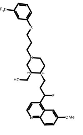 COc1ccc2nccc(C(F)CC[C@@H]3CCN(CCCSc4cccc(C(F)(F)F)c4)C[C@@H]3CO)c2c1